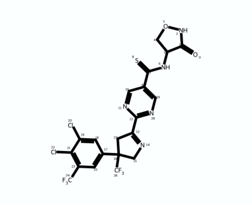 O=C1NOCC1NC(=S)c1cnc(C2=NCC(c3cc(Cl)c(Cl)c(C(F)(F)F)c3)(C(F)(F)F)C2)nc1